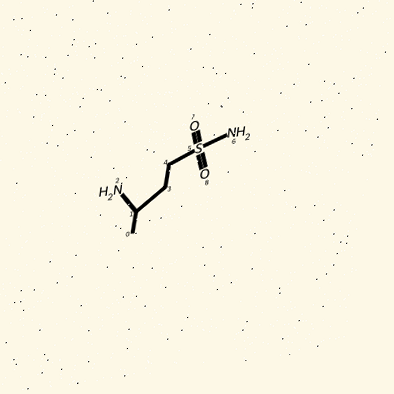 CC(N)CCS(N)(=O)=O